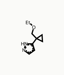 CCOCC1(c2ccn[nH]2)CC1